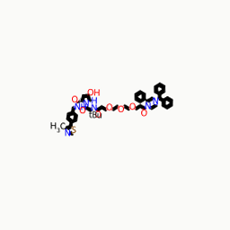 Cc1ncsc1-c1ccc(CNC(=O)[C@@H]2C[C@@H](O)CN2C(=O)[C@@H](NC(=O)CCOCCOCCOCCC(=O)N2CCN(C(c3ccccc3)c3ccccc3)C[C@@H]2c2ccccc2)C(C)(C)C)cc1